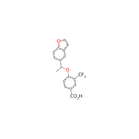 CC(Oc1ccc(C(=O)O)cc1C(F)(F)F)c1ccc2occc2c1